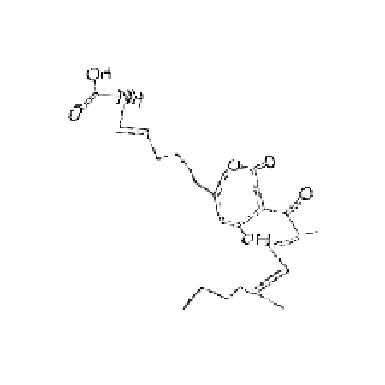 CCCCC(C)=CC=C(C)C(=O)c1c(O)cc(CCCC=CNC(=O)O)oc1=O